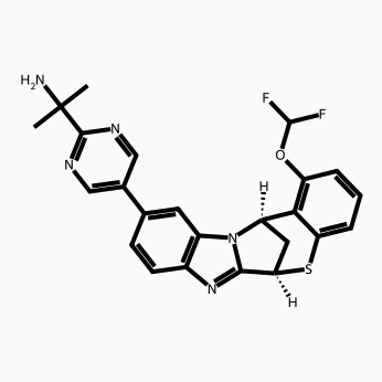 CC(C)(N)c1ncc(-c2ccc3nc4n(c3c2)[C@@H]2C[C@H]4Sc3cccc(OC(F)F)c32)cn1